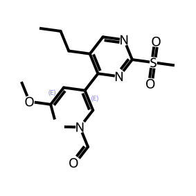 CCCc1cnc(S(C)(=O)=O)nc1C(/C=C(\C)OC)=C/N(C)C=O